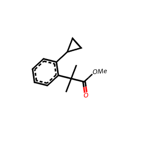 COC(=O)C(C)(C)c1ccccc1C1CC1